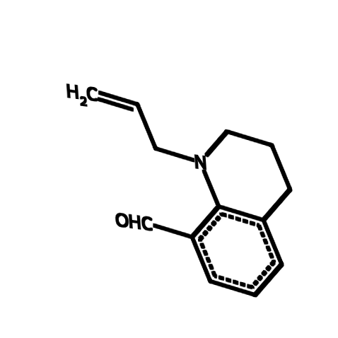 C=CCN1CCCc2cccc(C=O)c21